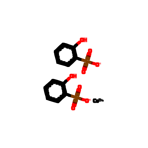 O=S(=O)([O-])c1ccccc1O.O=S(=O)([O-])c1ccccc1O.[Co+2]